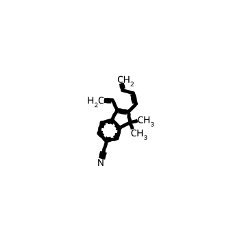 C=C/C=C\C1=C(C=C)c2ccc(C#N)cc2C1(C)C